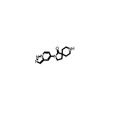 O=C1N(c2ccn3nncc3c2)CCC12CCNCC2